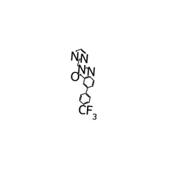 O=c1c2cc(-c3ccc(C(F)(F)F)cc3)ccc2ncn1Cc1ncccn1